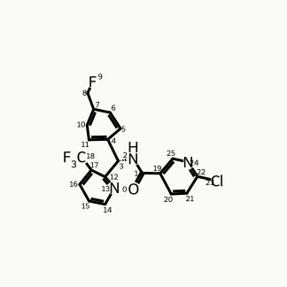 O=C(N[C@@H](c1ccc(CF)cc1)c1ncccc1C(F)(F)F)c1ccc(Cl)nc1